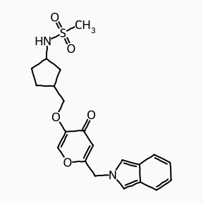 CS(=O)(=O)NC1CCC(COc2coc(Cn3cc4ccccc4c3)cc2=O)C1